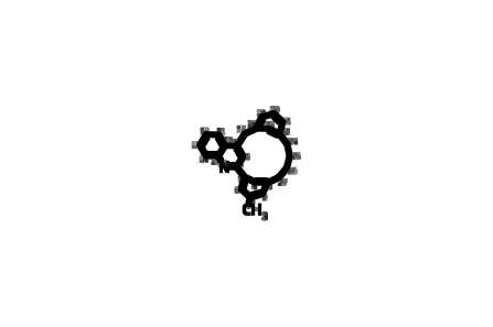 Cc1cc2cc(c1)-c1cc(c3ccccc3n1)Cc1cccc(c1)CCCC2